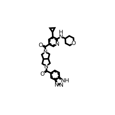 O=C(c1cnc(NC2CCOCC2)c(C2CC2)c1)N1CC2CN(C(=O)c3ccc4[nH]nnc4c3)CC2C1